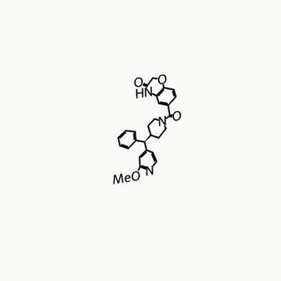 COc1cc([C@@H](c2ccccc2)C2CCN(C(=O)c3ccc4c(c3)NC(=O)CO4)CC2)ccn1